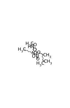 CCCCCCn1c(=O)c(OC=O)c(OCC=C(C)CCC=C(C)C)c2ccc(NC(C)=O)cc21